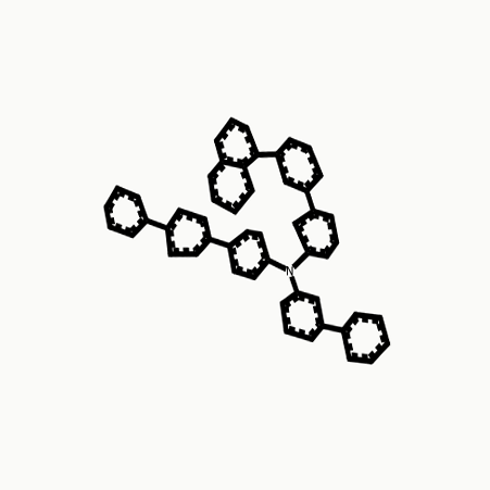 c1ccc(-c2ccc(-c3ccc(N(c4cccc(-c5ccccc5)c4)c4cccc(-c5cccc(-c6cccc7ccccc67)c5)c4)cc3)cc2)cc1